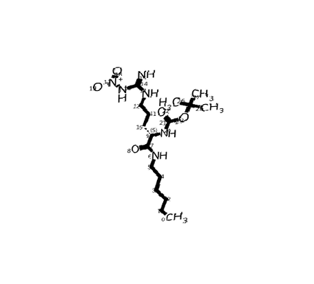 CCCCCCNC(=O)[C@H](CCCNC(=N)N[N+](=O)[O-])NC(=O)OC(C)(C)C